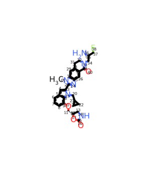 Cn1c(-c2cc3cccc(OC[C@@H]4CNC(=O)O4)c3n2CC2CC2)nc2cc3c(cc21)CCN(C[C@H](N)CF)C3=O